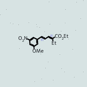 CCOC(=O)/C(=C/C=C/c1cc(OC)cc([N+](=O)[O-])c1)CC